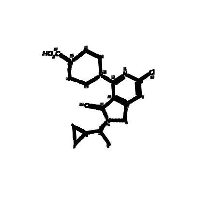 CC(C1CC1)N1Cc2cc(Cl)nc(N3CCN(C(=O)O)CC3)c2C1=O